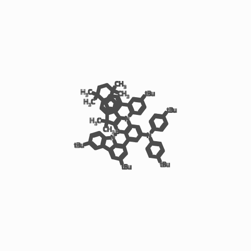 CC(C)(C)c1ccc(N(c2ccc(C(C)(C)C)cc2)c2cc3c4c(c2)N(c2ccc(C(C)(C)C)cc2-c2ccccc2)C2=C(B4n4c5ccc(C(C)(C)C)cc5c5cc(C(C)(C)C)cc-3c54)C(C)(C)c3cc4c(cc32)C(C)(C)CCC4(C)C)cc1